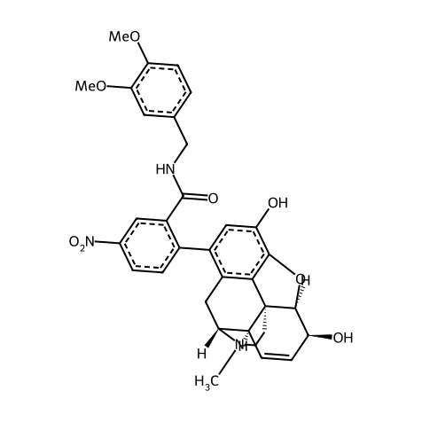 COc1ccc(CNC(=O)c2cc([N+](=O)[O-])ccc2-c2cc(O)c3c4c2C[C@@H]2[C@@H]5C=C[C@H](O)[C@H](O3)[C@]45CCN2C)cc1OC